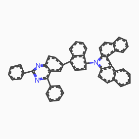 c1ccc(-c2nc(-c3ccccc3)c3cc(-c4ccc(-n5c6ccc7ccccc7c6c6c7ccccc7ccc65)c5ccccc45)ccc3n2)cc1